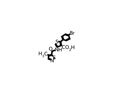 Cc1cnsc1C(=O)Nc1csc(-c2ccc(Br)cc2)c1C(=O)O